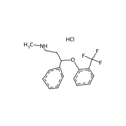 CNCCC(Oc1ccccc1C(F)(F)F)c1ccccc1.Cl